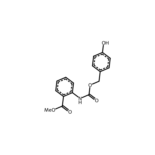 COC(=O)c1ccccc1NC(=O)OCc1ccc(O)cc1